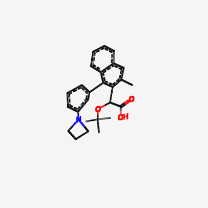 Cc1cc2ccccc2c(-c2cccc(N3CCC3)c2)c1C(OC(C)(C)C)C(=O)O